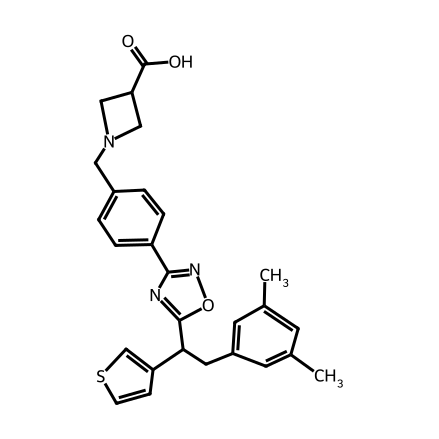 Cc1cc(C)cc(CC(c2ccsc2)c2nc(-c3ccc(CN4CC(C(=O)O)C4)cc3)no2)c1